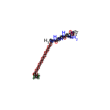 CCCN(OCC)C(=O)C1=Cc2ccc(C(=O)Nc3ccc(N4CCC(C(=O)NCCN(C)CCOCCOCCOCCOCCOCCOCCOCCOCCOCCOCCC(=O)Oc5c(F)c(F)cc(F)c5F)CC4)nc3)cc2N=C(N)C1